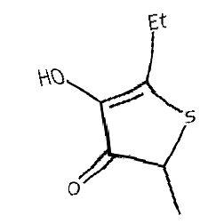 CCC1=C(O)C(=O)C(C)S1